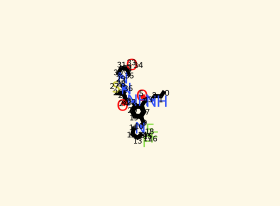 CCCNC(=O)c1cc(CN2CCC[C@H]2C(F)(F)F)ccc1NC(=O)c1csc(N2CC[C@H](OC)C2)n1